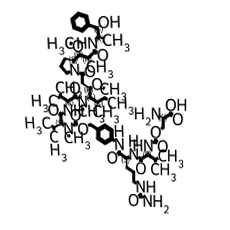 CC[C@H](C)[C@@H]([C@@H](CC(=O)N1CCC[C@H]1[C@H](OC)[C@@H](C)C(=O)N[C@H](C)[C@@H](O)c1ccccc1)OC)N(C)C(=O)[C@@H](NC(=O)[C@H](C(C)C)N(C)C(=O)OCc1ccc(NC(=O)[C@H](CCCNC(N)=O)NC(=O)[C@@H](NC(=O)OC[C@H](N)C(=O)O)C(C)C)cc1)C(C)C